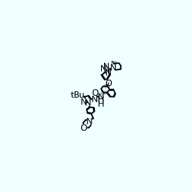 C[C@H]1CCCCN1c1nnc2ccc(O[C@@H]3CC[C@H](NC(=O)Nc4cc(C(C)(C)C)nn4-c4ccc(CN5CCOCC5)cc4)c4ccccc43)cn12